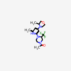 C=C1C=C(N2CCOCC2C)C=C(N2CCN(C(C)=O)CC2C(F)(F)F)N1